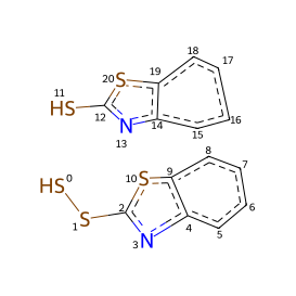 SSc1nc2ccccc2s1.Sc1nc2ccccc2s1